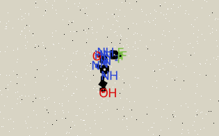 CC(C)(O)C1CC(CN[C@H]2CC[C@@H](n3cc(C(N)=O)c(Nc4ccc(C(F)(F)F)cc4)n3)C(C#N)C2)C1